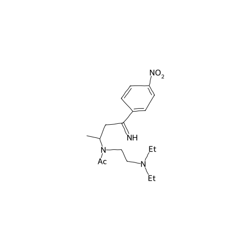 CCN(CC)CCN(C(C)=O)C(C)CC(=N)c1ccc([N+](=O)[O-])cc1